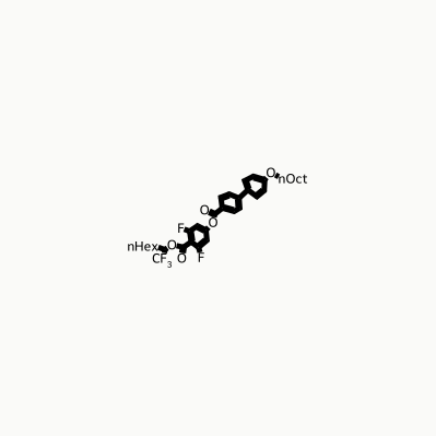 CCCCCCCCOc1ccc(-c2ccc(C(=O)Oc3cc(F)c(C(=O)OC(CCCCCC)C(F)(F)F)c(F)c3)cc2)cc1